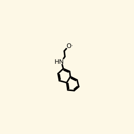 [O]CCNc1ccc2ccccc2c1